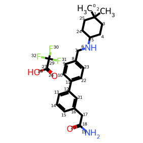 CC1(C)CCC(NCc2ccc(-c3cccc(CC(N)=O)c3)cc2)CC1.O=C(O)C(F)(F)F